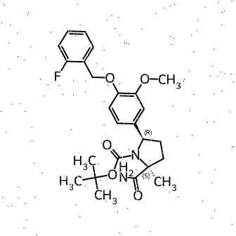 COc1cc([C@H]2CC[C@@](C)(C(N)=O)N2C(=O)OC(C)(C)C)ccc1OCc1ccccc1F